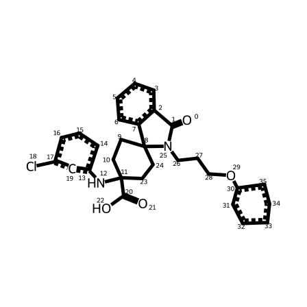 O=C1c2ccccc2C2(CCC(Nc3cccc(Cl)c3)(C(=O)O)CC2)N1CCCOc1ccccc1